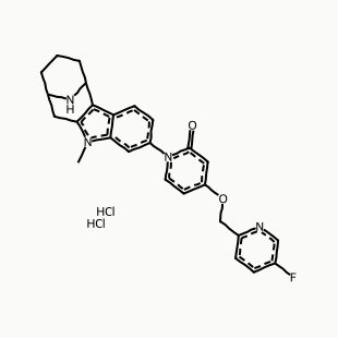 Cl.Cl.Cn1c2c(c3ccc(-n4ccc(OCc5ccc(F)cn5)cc4=O)cc31)C1CCCC(C2)N1